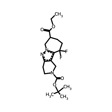 CCOC(=O)C1CCC(F)(F)c2c3c(nn2C1)CCN(C(=O)OC(C)(C)C)C3